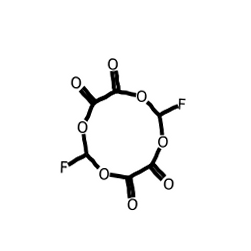 O=C1OC(F)OC(=O)C(=O)OC(F)OC1=O